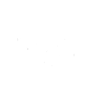 COC(=O)C(O)(C(=O)O)c1ccccc1.O=NO